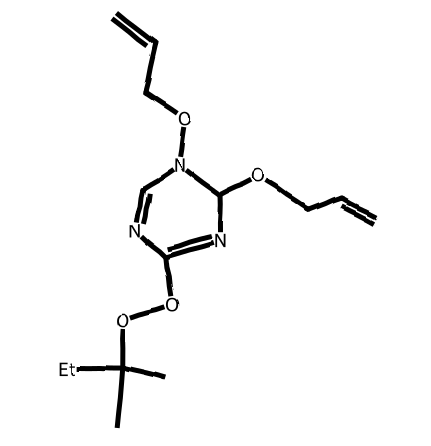 C=CCOC1N=C(OOC(C)(C)CC)N=CN1OCC=C